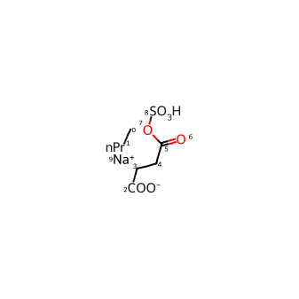 CCCC.O=C([O-])CCC(=O)OS(=O)(=O)O.[Na+]